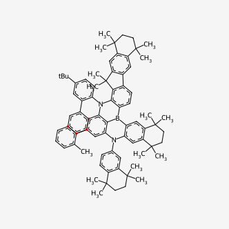 Cc1ccccc1-c1cc2c3c(c1)N(c1ccc(C(C)(C)C)cc1-c1ccccc1)c1c(ccc4c1C(C)(C)c1cc5c(cc1-4)C(C)(C)CCC5(C)C)B3c1cc3c(cc1N2c1ccc2c(c1)C(C)(C)CCC2(C)C)C(C)(C)CCC3(C)C